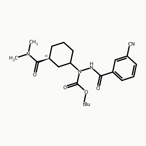 CN(C)C(=O)[C@H]1CCCC(N(NC(=O)c2cccc(C#N)c2)C(=O)OC(C)(C)C)C1